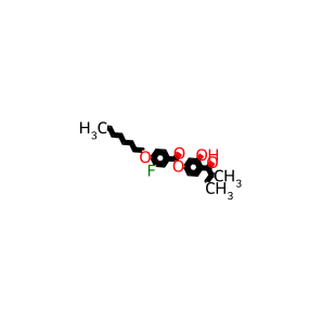 CCCCCCCCOc1ccc(C(=O)Oc2ccc(C(=O)C(C)CC)c(O)c2)cc1F